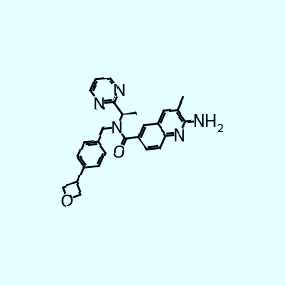 Cc1cc2cc(C(=O)N(Cc3ccc(C4COC4)cc3)[C@H](C)c3ncccn3)ccc2nc1N